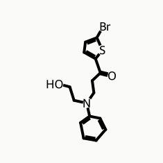 O=C(CCN(CCO)c1ccccc1)c1ccc(Br)s1